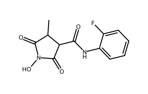 CC1C(=O)N(O)C(=O)C1C(=O)Nc1ccccc1F